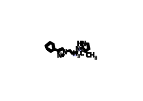 CC1(C)C=CN/C1=N/C=C\Cn1cnc(-c2ccccc2)c1